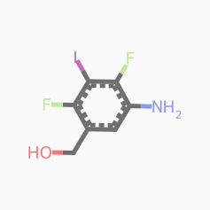 Nc1cc(CO)c(F)c(I)c1F